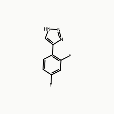 Fc1ccc(-c2c[nH]nn2)c(F)c1